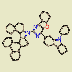 c1ccc(-n2c3ccccc3c3ccc(-c4nc(-n5c6ccc7ccccc7c6c6c7c8ccccc8c8ccccc8c7ccc65)nc5c4oc4ccccc45)cc32)cc1